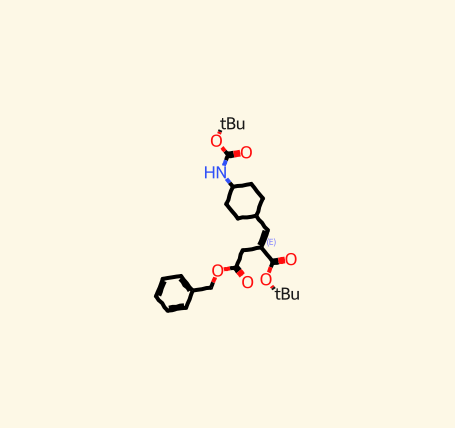 CC(C)(C)OC(=O)NC1CCC(/C=C(\CC(=O)OCc2ccccc2)C(=O)OC(C)(C)C)CC1